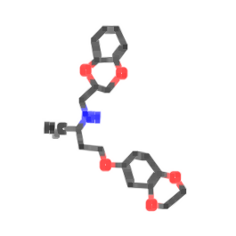 CC(CCOc1ccc2c(c1)OCCO2)NCC1COc2ccccc2O1